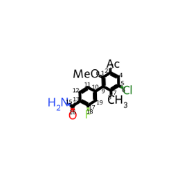 COc1c(C(C)=O)cc(Cl)c(C)c1-c1ccc(C(N)=O)c(F)c1